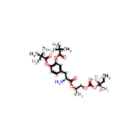 CCC(C)(C)OC(=O)OC[C@H](C)OC(=O)[C@@H](N)Cc1ccc(OC(=O)C(C)(C)C)c(OC(=O)C(C)(C)C)c1